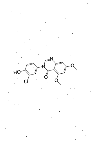 COc1cc(OC)c2c(=O)n(-c3ccc(O)c(Cl)c3)cnc2c1